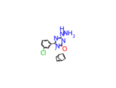 C1=CC2=CC=C1C2.Cn1c(-c2cccc(Cl)c2)nc(NN)nc1=O